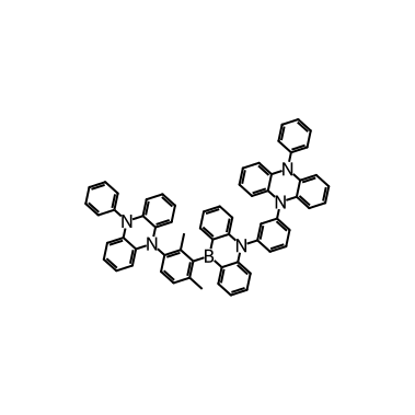 Cc1ccc(N2c3ccccc3N(c3ccccc3)c3ccccc32)c(C)c1B1c2ccccc2N(c2cccc(N3c4ccccc4N(c4ccccc4)c4ccccc43)c2)c2ccccc21